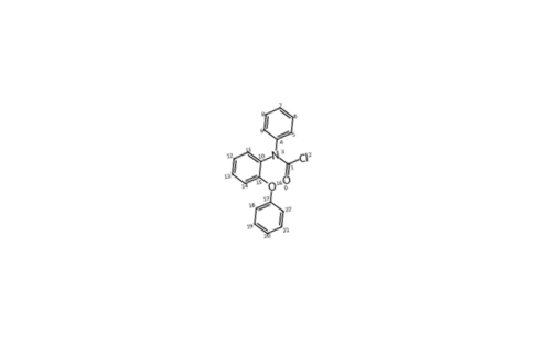 O=C(Cl)N(c1ccccc1)c1ccccc1Oc1ccccc1